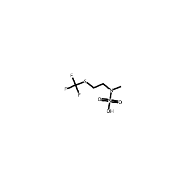 CN(CCSC(F)(F)F)S(=O)(=O)O